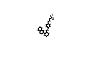 COC(=O)CCCc1ccc(OCC2=C(c3cnc4c(c3)CCCC4)CCCC2)cc1